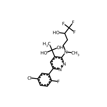 CN(CCC(O)C(F)(F)F)c1nnc(-c2cc(Cl)ccc2F)cc1C(C)(O)O